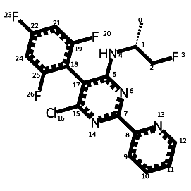 C[C@H](CF)Nc1nc(-c2ccccn2)nc(Cl)c1-c1c(F)cc(F)cc1F